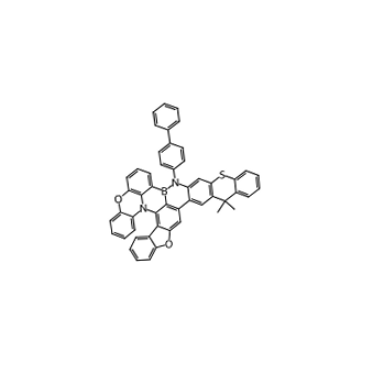 CC1(C)c2ccccc2Sc2cc3c(cc21)-c1cc2oc4ccccc4c2c2c1B(c1cccc4c1N2c1ccccc1O4)N3c1ccc(-c2ccccc2)cc1